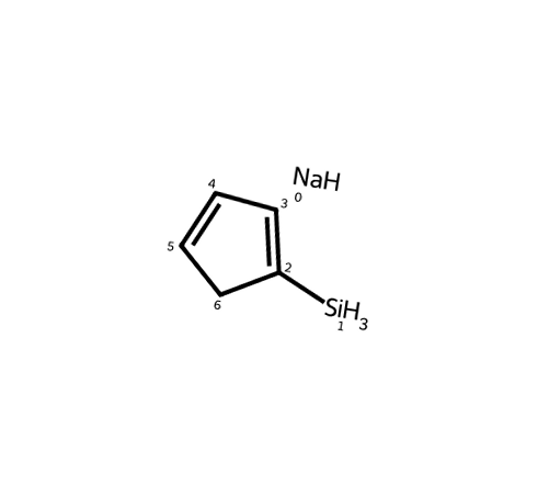 [NaH].[SiH3]C1=CC=CC1